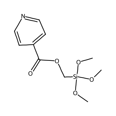 CO[Si](COC(=O)c1ccncc1)(OC)OC